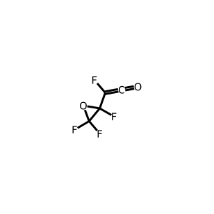 O=C=C(F)C1(F)OC1(F)F